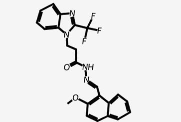 COc1ccc2ccccc2c1/C=N/NC(=O)CCn1c(C(F)(F)F)nc2ccccc21